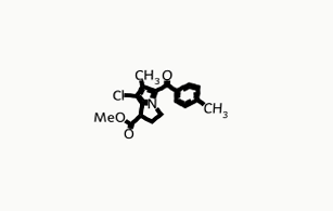 COC(=O)C1CCn2c(C(=O)c3ccc(C)cc3)c(C)c(Cl)c21